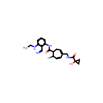 CCNc1cccc(NC(=O)C2CC=C(CNC(=O)C3(O)CC3)C=CC2Cl)c1C=N